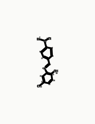 CCN(CC)c1ccc(/C=N/c2cc(Cl)ccc2O)cc1